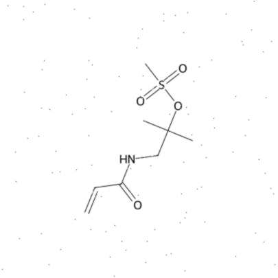 C=CC(=O)NCC(C)(C)OS(C)(=O)=O